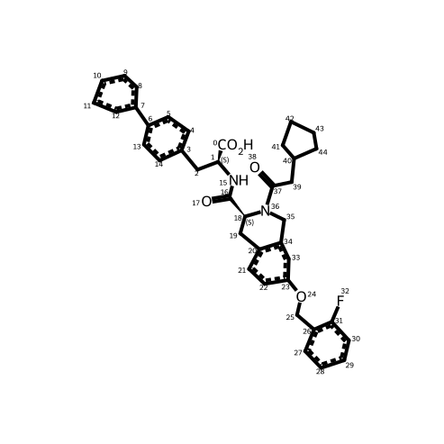 O=C(O)[C@H](Cc1ccc(-c2ccccc2)cc1)NC(=O)[C@@H]1Cc2ccc(OCc3ccccc3F)cc2CN1C(=O)CC1CCCC1